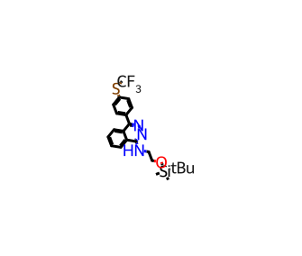 CC(C)(C)[Si](C)(C)OCCNc1nnc(-c2ccc(SC(F)(F)F)cc2)c2ccccc12